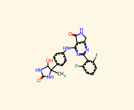 CC1(c2ccc(Nc3nc(-c4c(F)cccc4F)nc4c3C(=O)NC4)cc2)NC(=O)NC1O